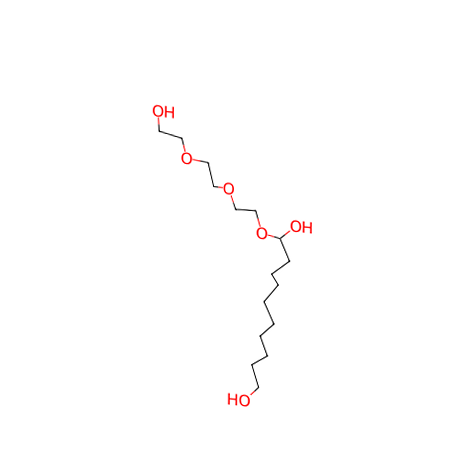 OCCCCCCCCCC(O)OCCOCCOCCO